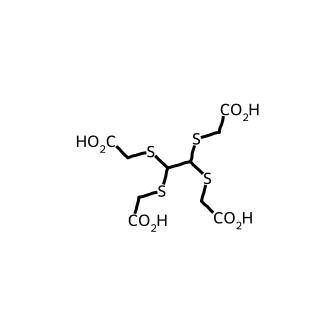 O=C(O)CSC(SCC(=O)O)C(SCC(=O)O)SCC(=O)O